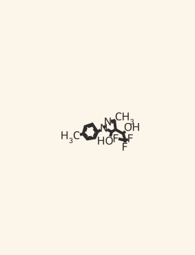 CC1=NN(c2ccc(C)cc2)C(O)C1C(O)C(F)(F)F